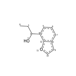 CCC(O)c1cccc2ccoc12